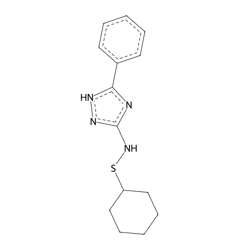 c1ccc(-c2nc(NSC3CCCCC3)n[nH]2)cc1